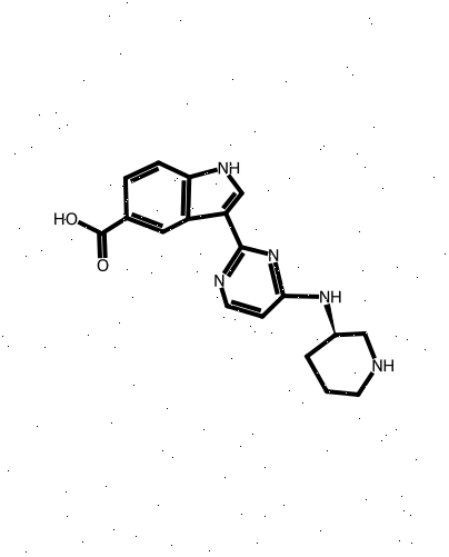 O=C(O)c1ccc2[nH]cc(-c3nccc(N[C@@H]4CCCNC4)n3)c2c1